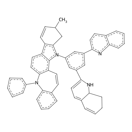 CC1C=Cc2c(n(-c3cc(C4=CC=C5C=CCCC5N4)cc(-c4ccc5ccccc5n4)c3)c3c4c(ccc23)N(c2ccccc2)c2ccccc2C=C4)C1